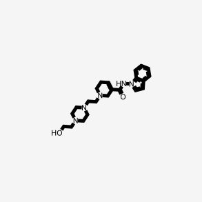 O=C(Nn1ccc2ccccc21)C1=CCCN(CCN2CCN(CCO)CC2)C1